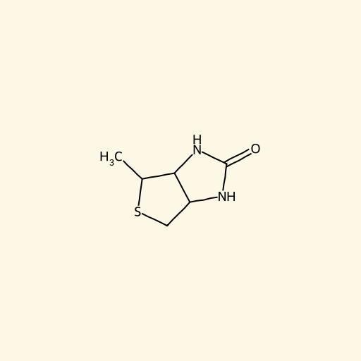 CC1SCC2NC(=O)NC21